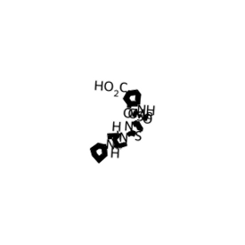 COc1cc(C(=O)O)ccc1NS(=O)(=O)c1csc(N2C[C@@H]3C[C@H]2CN3c2ccccc2)n1